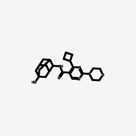 O=C(NC1C2CC3CC1CC(O)(C3)C2)c1cnc(N2CCOCC2)nc1C1CCC1